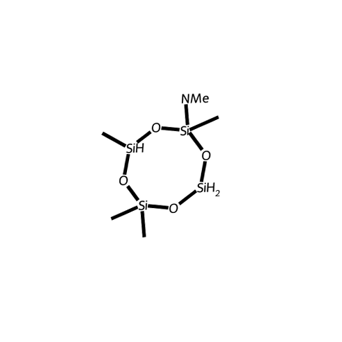 CN[Si]1(C)O[SiH2]O[Si](C)(C)O[SiH](C)O1